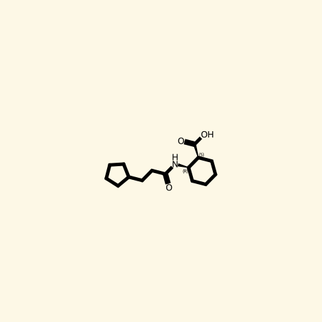 O=C(CCC1CCCC1)N[C@@H]1CCCC[C@@H]1C(=O)O